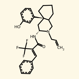 C=CCN1CC2CCCC[C@@]2(c2cccc(O)c2)C[C@H]1NC(=O)C(=Cc1ccccc1)C(F)(F)F